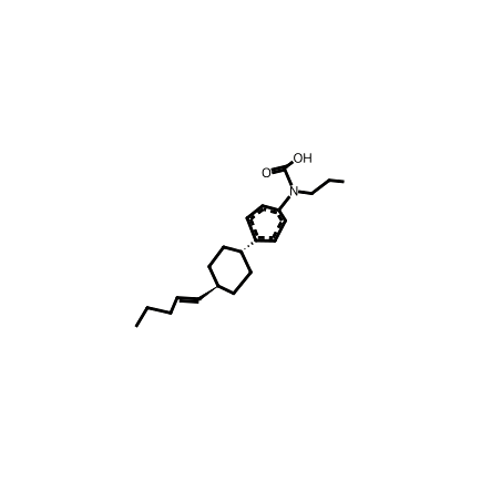 CCCC=C[C@H]1CC[C@H](c2ccc(N(CCC)C(=O)O)cc2)CC1